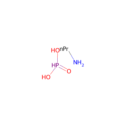 CCCN.O=[PH](O)O